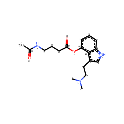 CN(C)CCc1c[nH]c2cccc(OC(=O)CCCNC(=O)C(C)(C)C)c12